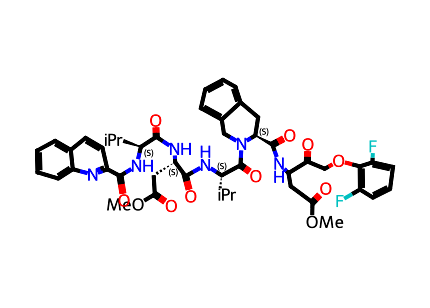 COC(=O)CC(NC(=O)[C@@H]1Cc2ccccc2CN1C(=O)[C@@H](NC(=O)[C@H](CC(=O)OC)NC(=O)[C@@H](NC(=O)c1ccc2ccccc2n1)C(C)C)C(C)C)C(=O)COc1c(F)cccc1F